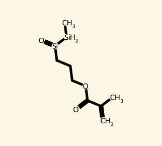 C=C(C)C(=O)OCCC[Si](=O)[SiH2]C